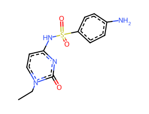 CCn1ccc(NS(=O)(=O)c2ccc(N)cc2)nc1=O